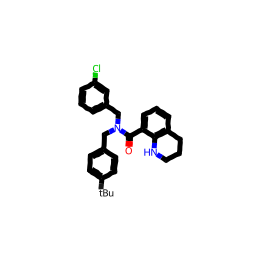 CC(C)(C)c1ccc(CN(Cc2cccc(Cl)c2)C(=O)c2cccc3c2NCCC3)cc1